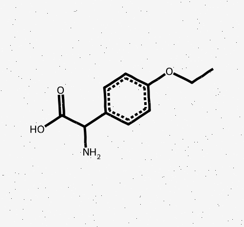 CCOc1ccc(C(N)C(=O)O)cc1